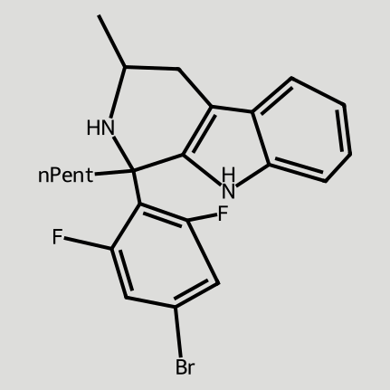 CCCCCC1(c2c(F)cc(Br)cc2F)NC(C)Cc2c1[nH]c1ccccc21